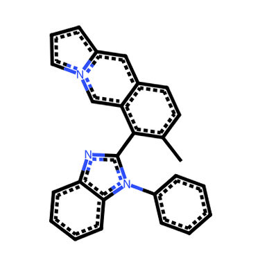 Cc1ccc2cc3cccn3cc2c1-c1nc2ccccc2n1-c1ccccc1